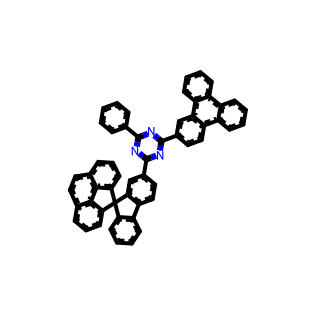 c1ccc(-c2nc(-c3ccc4c(c3)C3(c5ccccc5-4)c4cccc5ccc6cccc3c6c45)nc(-c3ccc4c5ccccc5c5ccccc5c4c3)n2)cc1